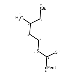 CCCCCC([S])SCCC(C)CC(C)(C)C